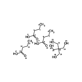 CCCC(=O)O.CCCC(=O)O.CCCC(=O)O.OCC(CO)(CO)CO